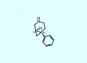 c1ccc([C@]23CCNC[C@H]2C3)cc1